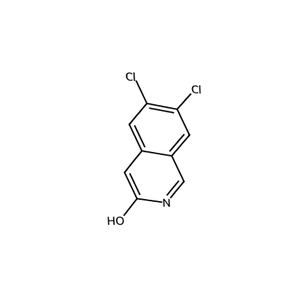 Oc1cc2cc(Cl)c(Cl)cc2cn1